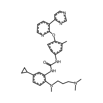 Cc1cc(NC(=O)Nc2cc(C3CC3)ccc2N(C)CCCN(C)C)ccc1Oc1ncccc1-c1ccncn1